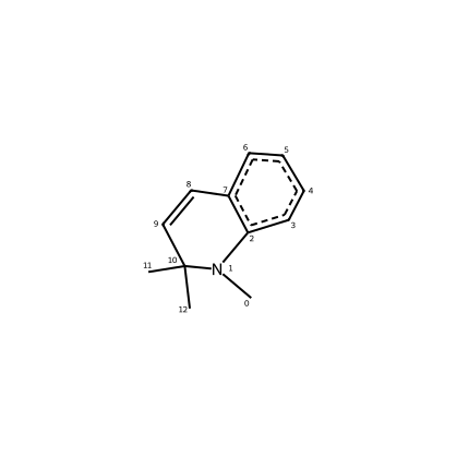 CN1c2ccccc2C=CC1(C)C